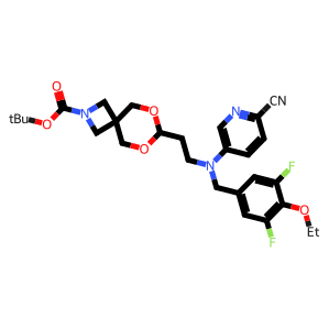 CCOc1c(F)cc(CN(CCC2OCC3(CO2)CN(C(=O)OC(C)(C)C)C3)c2ccc(C#N)nc2)cc1F